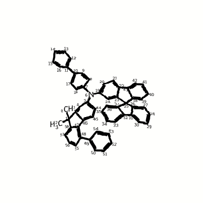 CC1(C)c2cc(N(c3ccc(-c4ccccc4)cc3)c3ccc4c(c3)C3(c5ccccc5-c5ccccc53)c3ccccc3-4)ccc2-c2c(-c3ccccc3)cccc21